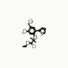 CCOC(=O)C(C)(C)Oc1cc(OC)c(C=O)cc1-c1cccs1